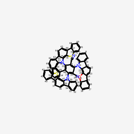 N#Cc1c(-n2c3ccccc3c3ccc4c5ccccc5oc4c32)c(C#N)c(-n2c3ccccc3c3ccc4c5ccccc5sc4c32)c(-c2ccccc2)c1-n1c2ccccc2c2ccc3c4ccccc4sc3c21